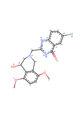 COc1ccc(OC)c2c1CN(Cc1nc3ccc(Cl)cc3c(=O)[nH]1)CC2O